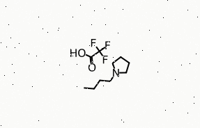 CCCCN1CCCC1.O=C(O)C(F)(F)F